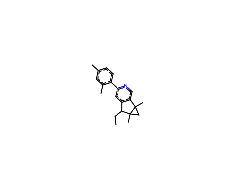 CCC1c2cc(-c3ccc(C)cc3C)ncc2C2(C)CC12C